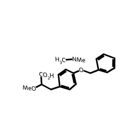 CNC.COC(Cc1ccc(OCc2ccccc2)cc1)C(=O)O